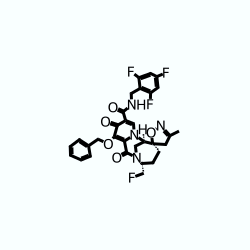 CC1=NO[C@@]2(CC[C@H](CF)N3C[C@H]2n2cc(C(=O)NCc4c(F)cc(F)cc4F)c(=O)c(OCc4ccccc4)c2C3=O)C1